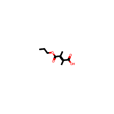 CCCOC(=O)/C(C)=C(\C)C(=O)O